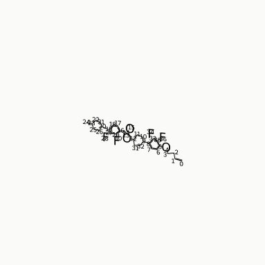 C=CCCOc1ccc(C2CCC(OC(=O)c3ccc(C4CCC(C)CC4)c(F)c3F)CC2)c(F)c1F